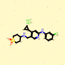 Cl.Cl.O=S1(=O)CCC(NCc2cnc(Nc3cccc(Cl)c3)cc2C2CC2)CC1